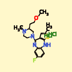 CCOCCC1CN(C2=Nc3cc(F)ccc3Nc3sc(C)cc32)CCN1C.Cl.Cl